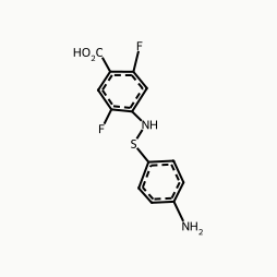 Nc1ccc(SNc2cc(F)c(C(=O)O)cc2F)cc1